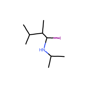 CC(C)NC(I)C(C)C(C)C